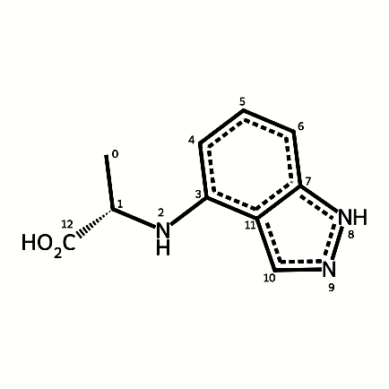 C[C@H](Nc1cccc2[nH]ncc12)C(=O)O